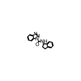 O=C(N[C@H]1CCc2ccccc21)n1nnc2ccccc21